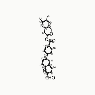 Cc1nc(C)c(CC(=O)OC(=O)c2ccc(-c3ccc4nc(C=O)ccc4c3)cc2)nc1C